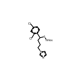 CCCCCCSC(CCCn1ccnc1)c1ccc(Cl)cc1Cl